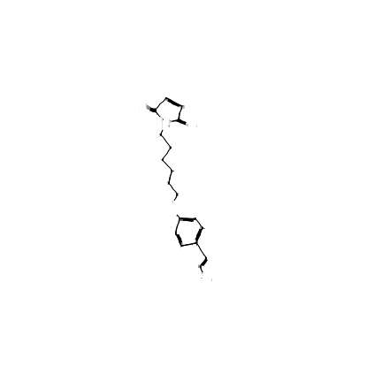 CCOC(=O)/C=C/c1ccc(OCCCCCCN2C(=O)C=CC2=O)cc1